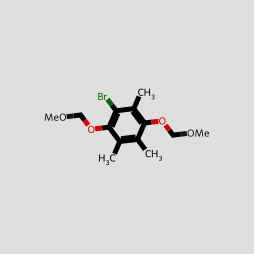 COCOc1c(C)c(C)c(OCOC)c(Br)c1C